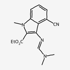 CCOC(=O)c1c(N=CN(C)C)c2c(C#N)cccc2n1C